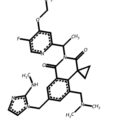 CCOc1cc(C(C)N2C(=O)c3cc(Cn4ccnc4NC)cc(CN(C)C)c3C3(CC3)C2=O)ncc1F